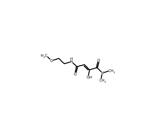 COCCNC(=O)/C=C(\O)C(=O)N(C)C